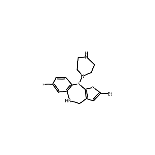 CCc1cc2c(s1)N(N1CCNCC1)c1ccc(F)cc1NC2